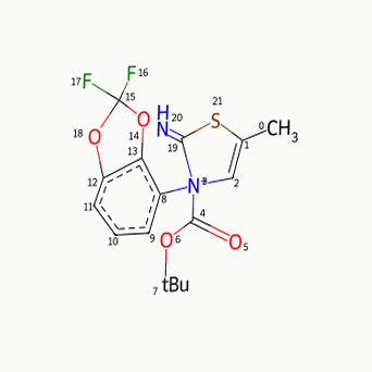 CC1=C[N+](C(=O)OC(C)(C)C)(c2cccc3c2OC(F)(F)O3)C(=N)S1